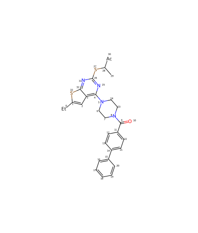 CCc1cc2c(N3CCN(C(=O)c4ccc(-c5ccccc5)cc4)CC3)nc(SC(C)C(C)=O)nc2s1